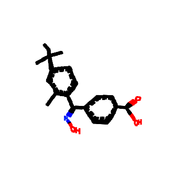 Cc1cc(C(C)(C)C)ccc1C(=NO)c1ccc(C(=O)O)cc1